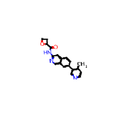 Cc1ccncc1-c1ccc2cc(NC(=O)C3CCO3)ncc2c1